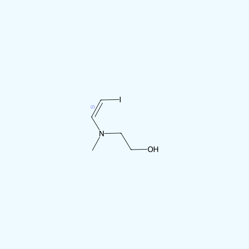 CN(/C=C\I)CCO